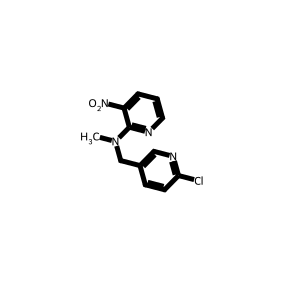 CN(Cc1ccc(Cl)nc1)c1ncccc1[N+](=O)[O-]